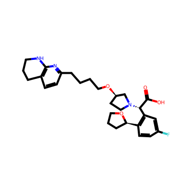 O=C(O)[C@H](c1cc(F)ccc1[C@H]1CCCO1)N1CC[C@@H](OCCCCc2ccc3c(n2)NCCC3)C1